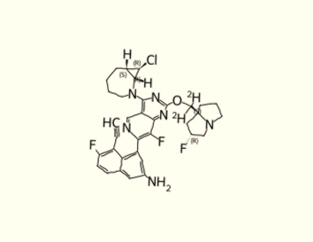 [2H]C([2H])(Oc1nc(N2CCCC[C@@H]3[C@@H](Cl)[C@@H]32)c2cnc(-c3cc(N)cc4ccc(F)c(C#C)c34)c(F)c2n1)[C@@]12CCCN1C[C@H](F)C2